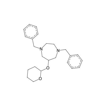 c1ccc(CN2CCN(Cc3ccccc3)CC(OC3CCCCO3)C2)cc1